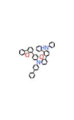 c1ccc(Nc2ccc3c(oc4c(N(c5ccc(-c6ccccc6)cc5)c5ccc(-c6cccc7c6oc6ccccc67)cc5)cccc43)c2-c2ccccc2)cc1